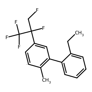 CCc1ccccc1-c1cc(C(F)(CF)C(F)(F)F)c[c]c1C